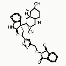 C[C@@H]1[C@H]2C[C@@H]([C@@]3(CCn4cc(CON5C(=O)c6ccccc6C5=O)nn4)C(=O)Nc4ccccc43)N(C#N)C[C@@H]2CC[C@@H]1O